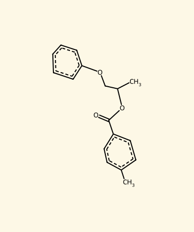 Cc1ccc(C(=O)OC(C)COc2ccccc2)cc1